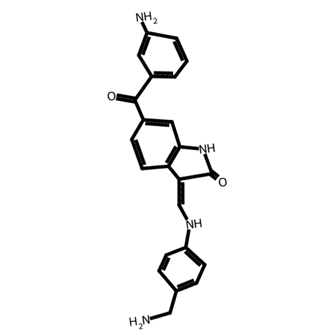 NCc1ccc(NC=C2C(=O)Nc3cc(C(=O)c4cccc(N)c4)ccc32)cc1